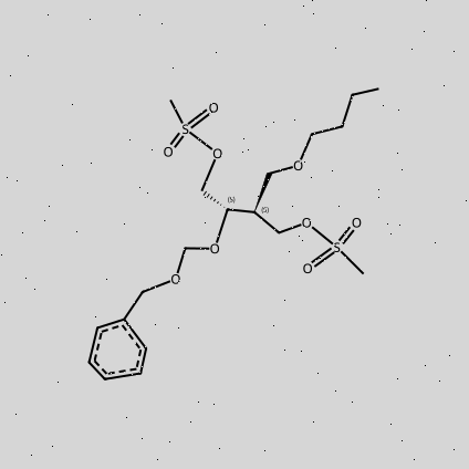 CCCCOC[C@@H](COS(C)(=O)=O)[C@@H](COS(C)(=O)=O)OCOCc1ccccc1